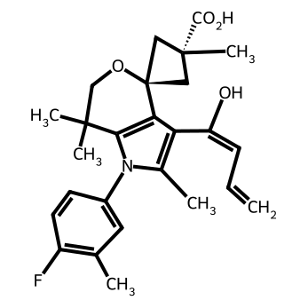 C=C/C=C(/O)c1c(C)n(-c2ccc(F)c(C)c2)c2c1[C@]1(C[C@@](C)(C(=O)O)C1)OCC2(C)C